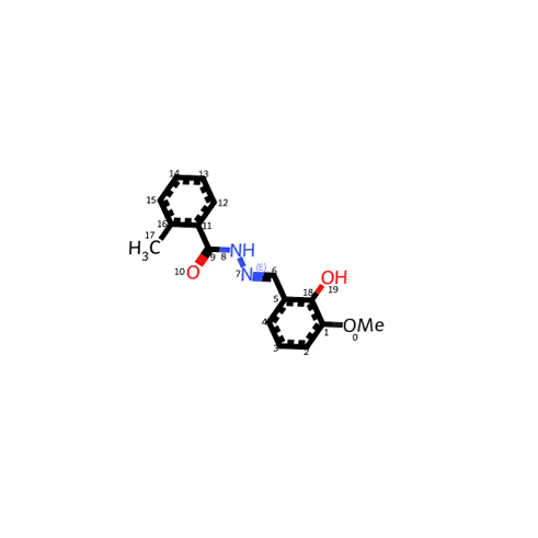 COc1cccc(/C=N/NC(=O)c2ccccc2C)c1O